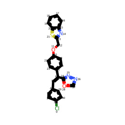 Clc1ccc(C=C(c2ccc(OCc3nc4ccccc4s3)cc2)c2nnco2)cc1